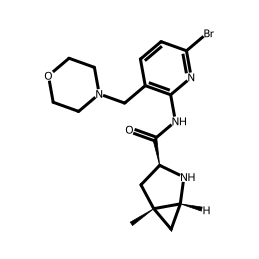 C[C@@]12C[C@@H](C(=O)Nc3nc(Br)ccc3CN3CCOCC3)N[C@@H]1C2